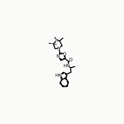 CC(Cc1c[nH]c2ccccc12)NC(=O)c1cnc(N2CC(C)N(C)[C@H](C)C2)o1